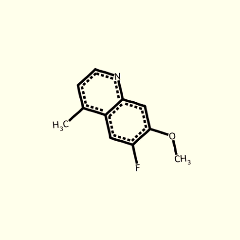 COc1cc2nccc(C)c2cc1F